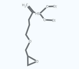 C=C(CCCOCC1CO1)[SiH](OCC)OCC